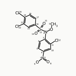 CON(c1ccc([N+](=O)[O-])cc1Cl)S(=O)(=O)c1ccc(Cl)c(Cl)c1